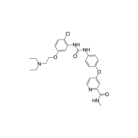 CCN(CC)CCOc1ccc(Cl)c(NC(=O)Nc2ccc(Oc3ccnc(C(=O)NC)c3)cc2)c1